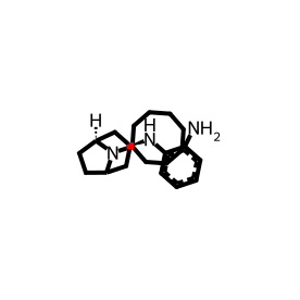 Nc1ccccc1N[C@H]1CC2CC[C@@H](C1)N2C1CCCCCCC1